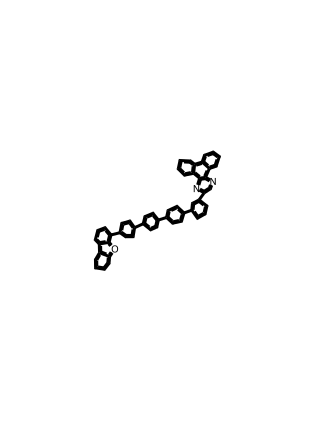 c1cc(-c2ccc(-c3ccc(-c4ccc(-c5cccc6c5oc5ccccc56)cc4)cc3)cc2)cc(-c2cnc3c4ccccc4c4ccccc4c3n2)c1